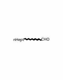 CCCCCCCCCCCCC=CC=CCC=O